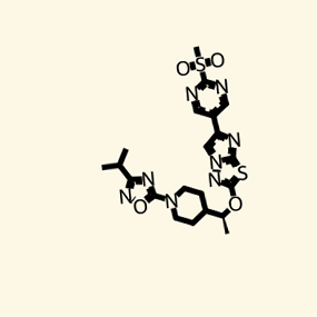 CC(C)c1noc(N2CCC([C@H](C)Oc3nn4cc(-c5cnc(S(C)(=O)=O)nc5)nc4s3)CC2)n1